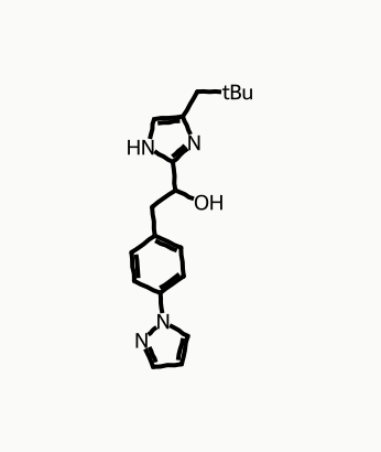 CC(C)(C)Cc1c[nH]c(C(O)Cc2ccc(-n3cccn3)cc2)n1